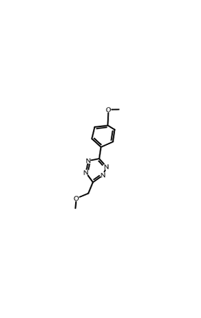 COCc1nnc(-c2ccc(OC)cc2)nn1